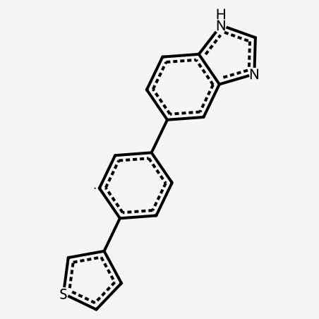 [c]1cc(-c2ccc3[nH]cnc3c2)ccc1-c1ccsc1